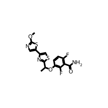 COc1ncc(-c2csc(C(C)Oc3ccc(F)c(C(N)=O)c3F)n2)s1